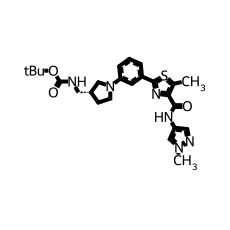 Cc1sc(-c2cccc(N3CC[C@H](CNC(=O)OC(C)(C)C)C3)c2)nc1C(=O)Nc1cnn(C)c1